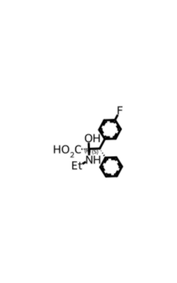 CCN[C@](O)(C(=O)O)[C@@H](c1ccccc1)c1ccc(F)cc1